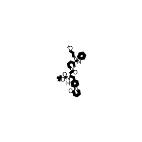 COCCCn1c([C@@H]2CCCN(C(=O)C[C@@H](Cc3ccc(-n4ccccc4=O)cc3)NC(=O)OC(C)(C)C)C2)nc2ccccc21